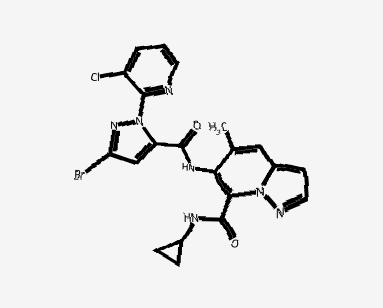 Cc1cc2ccnn2c(C(=O)NC2CC2)c1NC(=O)c1cc(Br)nn1-c1ncccc1Cl